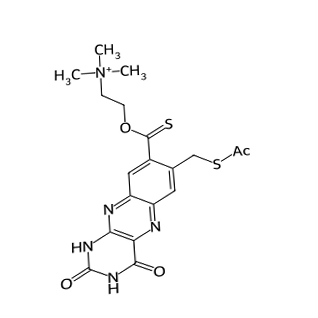 CC(=O)SCc1cc2nc3c(=O)[nH]c(=O)[nH]c3nc2cc1C(=S)OCC[N+](C)(C)C